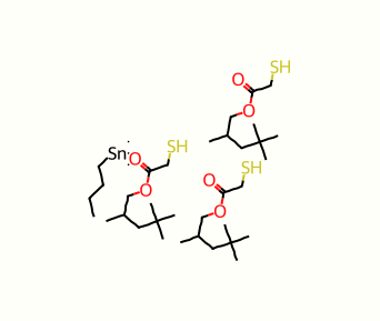 CC(COC(=O)CS)CC(C)(C)C.CC(COC(=O)CS)CC(C)(C)C.CC(COC(=O)CS)CC(C)(C)C.CCC[CH2][Sn]